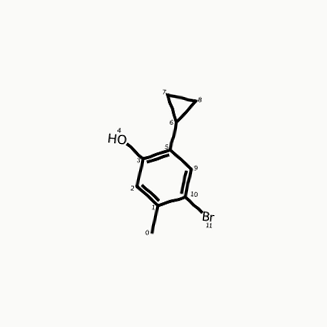 Cc1cc(O)c(C2CC2)cc1Br